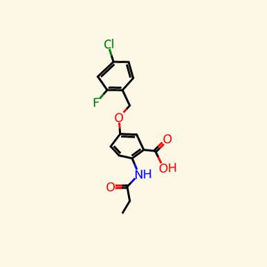 CCC(=O)Nc1ccc(OCc2ccc(Cl)cc2F)cc1C(=O)O